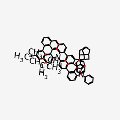 CC(C)(C)c1cc(-c2cccc3cccc(-c4ccccc4N(c4ccc(-c5cccc6c5c5ccccc5n6-c5ccccc5)cc4)c4ccccc4-c4ccc5c(c4)C4(c6ccccc6-5)C5CC6CC7CC4C75C6)c23)cc(C(C)(C)C)c1